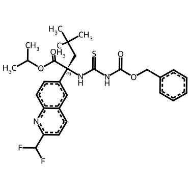 CC(C)OC(=O)[C@](CC(C)(C)C)(NC(=S)NC(=O)OCc1ccccc1)c1ccc2nc(C(F)F)ccc2c1